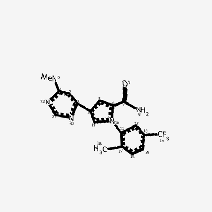 CNc1cc(-c2cc(C(N)=O)n(-c3cc(C(F)(F)F)ccc3C)c2)ncn1